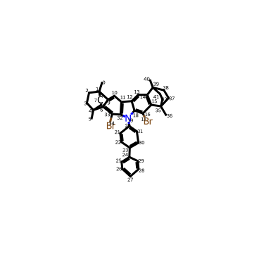 CC12CCC(C)(CC1)c1c2cc2c3cc4c(c(Br)c3n(-c3ccc(-c5ccccc5)cc3)c2c1Br)C1(C)CCC4(C)CC1